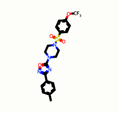 Cc1ccc(-c2noc(N3CCN(S(=O)(=O)c4ccc(OC(F)(F)F)cc4)CC3)n2)cc1